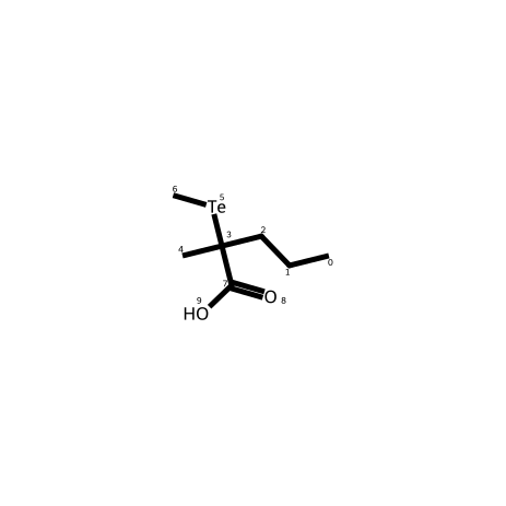 CCCC(C)([Te]C)C(=O)O